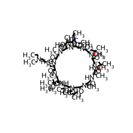 C/C=C/C[C@@H](C)[C@@H](O)[C@H]1C(=O)N[C@@H](CC)C(=O)N(C)[C@H](CSCCN(CC)CC)C(=O)N(C)[C@@H](CC(C)(C)OC)C(=O)N[C@@H](C(C)C)C(=O)N(C)[C@@H](CC(C)C)C(=O)N[C@@H](C)C(=O)N[C@H](C)C(=O)N(C)[C@@H](CC(C)C)C(=O)N(C)[C@@H](CC(C)C)C(=O)N(C)[C@@H](C(C)C)C(=O)N1C